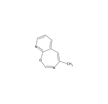 CC1=Cc2cccnc2OC=N1